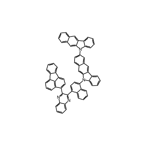 c1ccc2c(c1)-c1cccc3c(-c4nc5ccccc5nc4-c4ccc(-n5c6ccccc6c6cc7cc(-n8c9ccccc9c9cc%10ccccc%10cc98)ccc7cc65)c5ccccc45)ccc-2c13